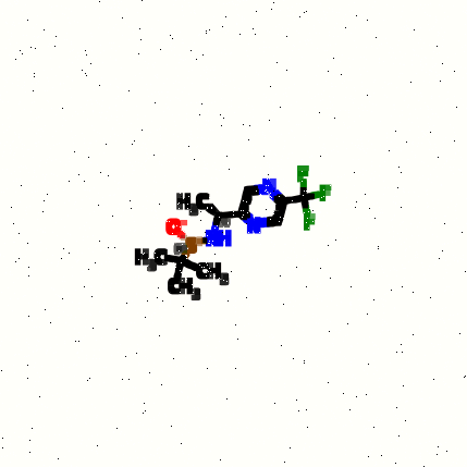 C[C@H](N[S@@+]([O-])C(C)(C)C)c1cnc(C(F)(F)F)cn1